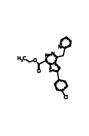 CCOC(=O)c1nnc(Cc2ccccn2)c2cc(-c3ccc(Cl)cc3)sc12